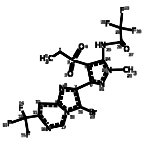 CCS(=O)(=O)c1c(-c2nc3cc(C(F)(F)F)ncn3c2Br)nn(C)c1NC(=O)C(F)(F)F